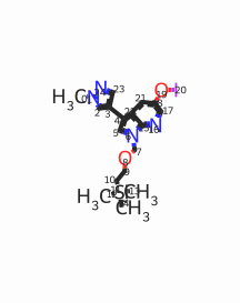 Cn1cc(-c2cn(COCC[Si](C)(C)C)c3ncc(OI)cc23)cn1